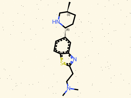 C[C@H]1CC[C@H](c2ccc3sc(CCN(C)C)nc3c2)NC1